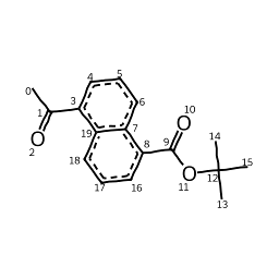 CC(=O)c1cccc2c(C(=O)OC(C)(C)C)cccc12